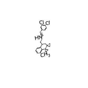 Cc1cccc2c1C1(CC1)C1(CC1)CC2CCNSCc1ccc(Cl)c(Cl)c1